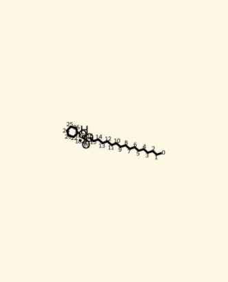 CCCCCCCCCCCCCCCCO[SH](C)(=O)OC1CCCCC1